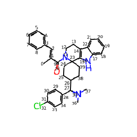 CC(=Cc1ccccc1)C(=O)N1CCc2c([nH]c3ccccc23)C12CCC(C(c1ccc(Cl)cc1)N(C)C)CC2